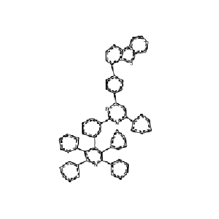 c1ccc(-c2cc(-c3ccc(-c4cccc5c4sc4ccccc45)cc3)nc(-c3cccc(-c4c(-c5ccccc5)c(-c5ccccc5)nc(-c5ccccc5)c4-c4ccccc4)c3)n2)cc1